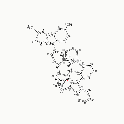 N#Cc1ccc2c(c1)c1cc(C#N)ccc1n2-c1ccc(-c2ccccc2-n2c3ccccc3c3cccc(-n4c5ccccc5c5ccccc54)c32)c(C#N)c1